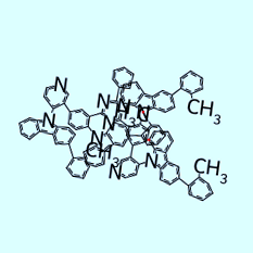 Cc1ccccc1-c1ccc2c(c1)c1ccccc1n2-c1ccncc1-c1ccc(-n2c3ccccc3c3cc(-c4ccccc4C)ccc32)c(-c2nc(-c3ccccc3)nc(-c3cc(-c4cnccc4-n4c5ccccc5c5cc(-c6ccccc6C)ccc54)ccc3-n3c4ccccc4c4cc(-c5ccccc5C)ccc43)n2)c1